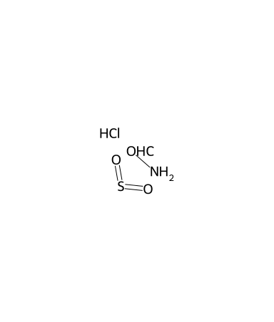 Cl.NC=O.O=S=O